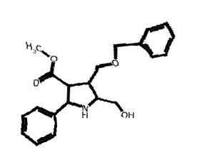 COC(=O)C1C(c2ccccc2)NC(CO)C1COCc1ccccc1